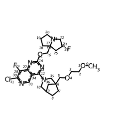 COCCOCC12CCC(CN(c3nc(OC[C@@]45CCCN4C[C@H](F)C5)nc4c(F)c(Cl)ncc34)C1)C2